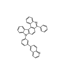 c1ccc(-c2nc3ccccc3c3c2ccc2c3c3ccccc3n2-c2cccc(-c3ccc4ncccc4c3)c2)cc1